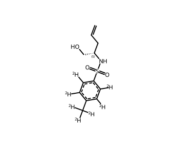 [2H]c1c([2H])c(S(=O)(=O)N[C@H](CO)CC=C)c([2H])c([2H])c1C([2H])([2H])[2H]